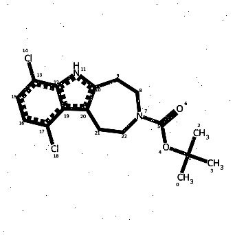 CC(C)(C)OC(=O)N1CCc2[nH]c3c(Cl)ccc(Cl)c3c2CC1